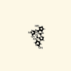 CC(C)c1cc(Nc2nc(N3CCC[C@H]3C(=O)Nc3ccc(O)nc3)nc3c2[C@H](O)CC3)n[nH]1